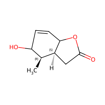 C[C@H]1C(O)C=CC2OC(=O)C[C@H]21